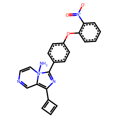 N[N+]12C=CN=CC1=C(C1=CC=C1)N=C2c1ccc(Oc2ccccc2[N+](=O)[O-])cc1